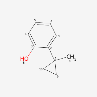 CC1(c2ccccc2O)CC1